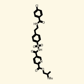 CCCCC(C)COC(=O)c1ccc(C(=O)NS(=O)(=O)c2ccc(CCNC(=O)c3ccc(Cl)cc3)cc2)cn1